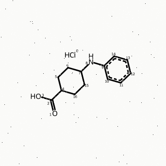 Cl.O=C(O)C1CCC(Nc2ccccc2)CC1